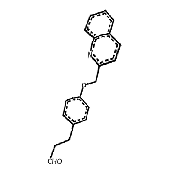 O=CCCc1ccc(OCc2ccc3ccccc3n2)cc1